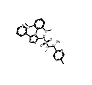 COc1cccc(OC)c1-n1c(NS(=O)(=O)[C@@H](C)[C@H](O)c2cnc(C)cn2)nnc1-c1cccnc1